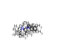 C=CCC(C)N(C(=C)/C=C(\CC)C(C)(C)CCC)C1=CC(N(C)c2ccc3c(c2)C(C)(C)CCC3(C)C)=CC(C)C1